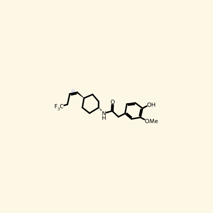 COc1cc(CC(=O)N[C@H]2CC[C@H](/C=C\CC(F)(F)F)CC2)ccc1O